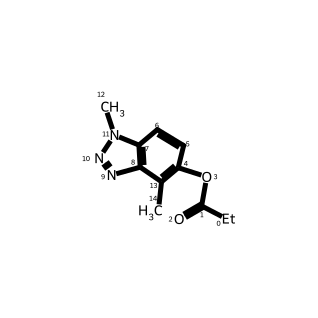 CCC(=O)Oc1ccc2c(nnn2C)c1C